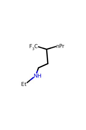 CCCC(CCNCC)C(F)(F)F